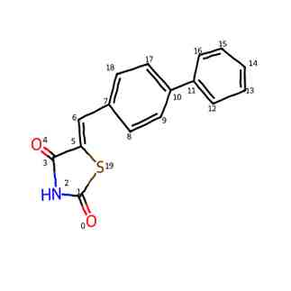 O=C1NC(=O)/C(=C/c2ccc(-c3ccccc3)cc2)S1